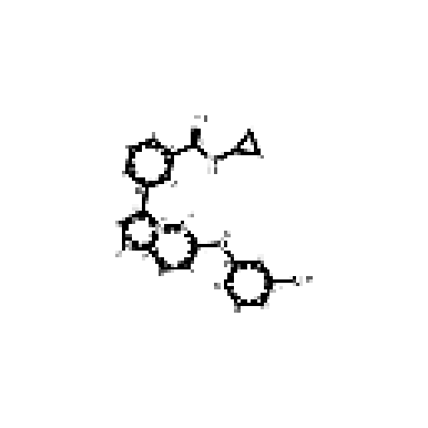 O=C(NC1CC1)c1cccc(-c2cnc3ccc(Oc4cccc(Cl)c4)nn23)c1